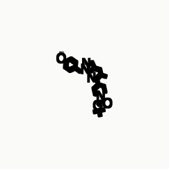 COc1ccc(Cn2ncc3cc(C)c(C4=CCN(C(=O)OC(C)(C)C)CC4)nc32)cc1